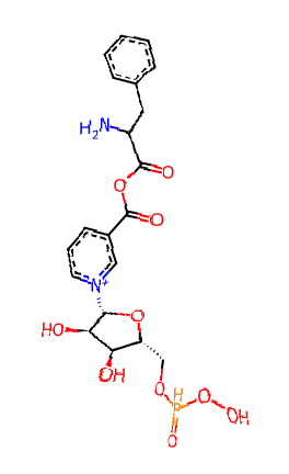 NC(Cc1ccccc1)C(=O)OC(=O)c1ccc[n+]([C@@H]2O[C@H](CO[PH](=O)OO)[C@@H](O)[C@H]2O)c1